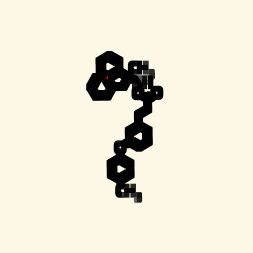 Cc1ccc(Oc2cccc(CCC(=O)ON[C@@](C)(Cc3ccccc3)c3ccccc3)c2)cc1